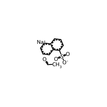 CC=O.O=S(=O)([O-])c1cccc2ccccc12.[Na+]